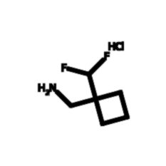 Cl.NCC1(C(F)F)CCC1